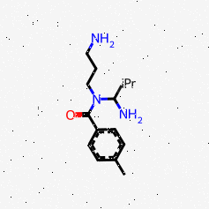 Cc1ccc(C(=O)N(CCCN)C(N)C(C)C)cc1